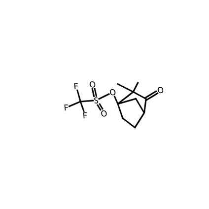 CC1(C)C(=O)C2CCC1(OS(=O)(=O)C(F)(F)F)C2